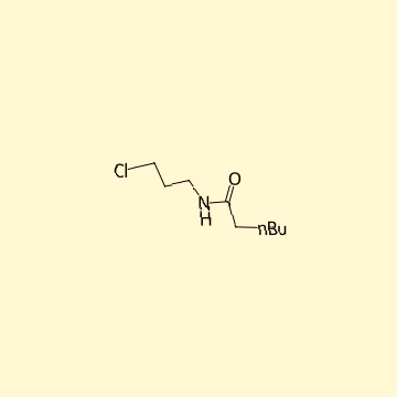 CCCCCC(=O)NCCCCl